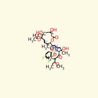 CC[C@H](OC)[C@@H](C)C1O[C@@H]1C(NS(=O)(=O)c1ccc(F)c(F)c1)C(C)(O)/C=C/C=C(\C)C1OC(=O)C[C@H](O)CCC(C)(O)[C@@H](OC(C)=O)/C=C/[C@@H]1C